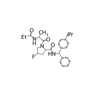 CCC(=O)NC(C)C(=O)N1CC(F)CC1C(=O)NC(c1ccccc1)c1ccc(C(C)C)cc1